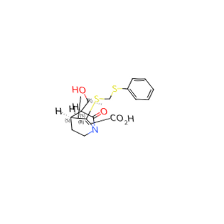 C[C@@H](O)[C@H]1C(=O)N2CC[C@@H]1[C@@H](C)C(SCSc1ccccc1)=C2C(=O)O